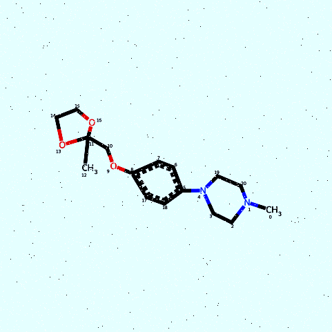 CN1CCN(c2ccc(OCC3(C)OCCO3)cc2)CC1